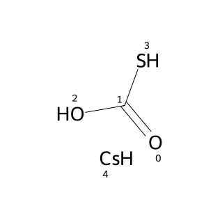 O=C(O)S.[CsH]